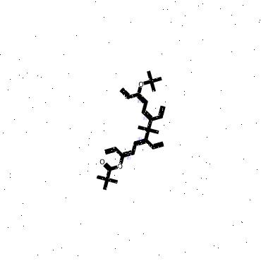 C=C/C(=C\C=C(/C=C)C(C)(C)/C(C=C)=C/C=C(\C=C)OC(C)(C)C)OC(=O)C(C)(C)C